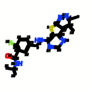 Cc1nnc2sc3c(NCc4ccc(F)c(C(=O)NC(C)C)c4)ncnc3c2c1C